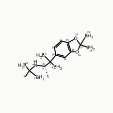 BC(B)(C)N[C@@H](C)C(B)(B)c1ccc2c(c1)OC(B)(B)O2